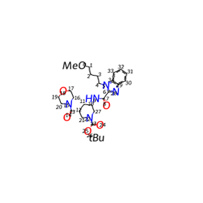 COCCCCn1c(C(=O)N[C@H]2C[C@@H](C(=O)N3CCOCC3)CN(C(=O)OC(C)(C)C)C2)nc2ccccc21